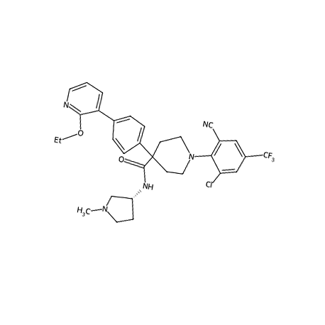 CCOc1ncccc1-c1ccc(C2(C(=O)N[C@@H]3CCN(C)C3)CCN(c3c(Cl)cc(C(F)(F)F)cc3C#N)CC2)cc1